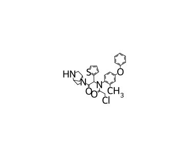 Cc1cc(Oc2ccccc2)ccc1N(C(=O)CCl)C(C(=O)N1CC2CC1CN2)c1cccs1